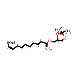 C=C(CCCCCCC/C=C\CCCCCCCC)OCC1COC(C)(C)O1